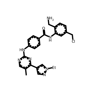 CCn1cc(-c2nc(Nc3ccc(C(=O)Nc4cc(CCl)ccc4CN)cc3)ncc2C)cn1